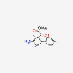 COC(=O)[C@@H](O)c1c(-c2ccc(C)cc2)cc(I)c(N)c1C